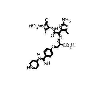 Cc1sc(N)nc1/C(=N/OC(COc1ccc(C(=N)NC2CCNCC2)cc1)C(=O)O)C(=O)N[C@@H]1C(=O)N(S(=O)(=O)O)[C@H]1C